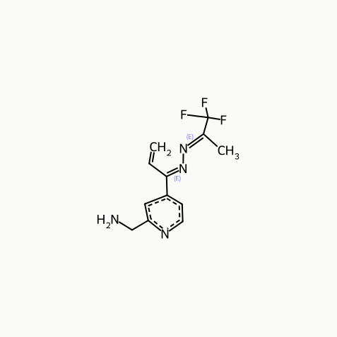 C=C/C(=N\N=C(/C)C(F)(F)F)c1ccnc(CN)c1